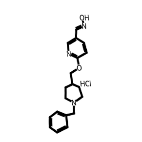 Cl.O/N=C/c1ccc(OCC2CCN(Cc3ccccc3)CC2)nc1